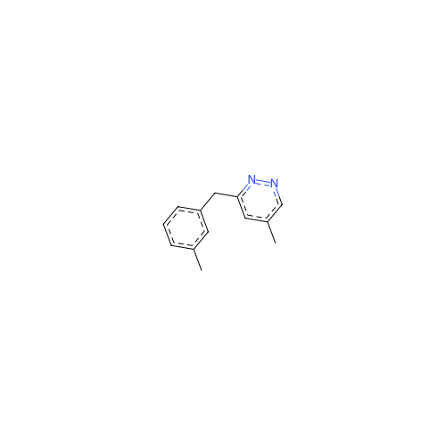 Cc1cccc(Cc2cc(C)cnn2)c1